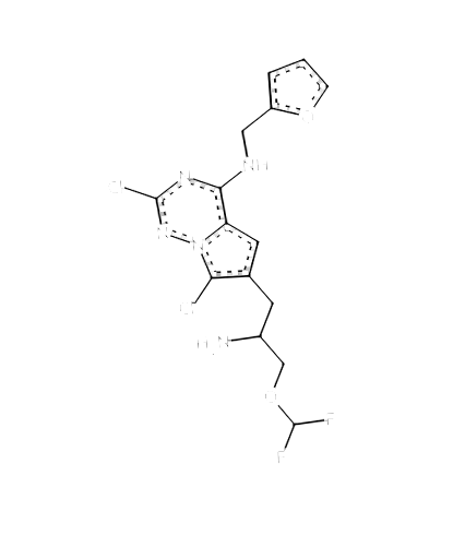 NC(COC(F)F)Cc1cc2c(NCc3ccco3)nc(Cl)nn2c1Cl